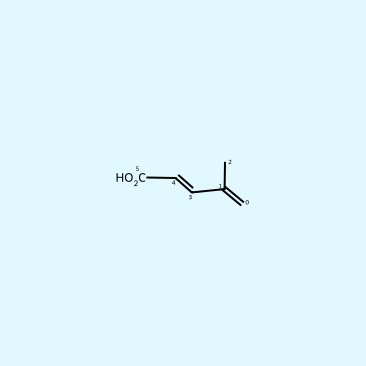 C=C(C)C=CC(=O)O